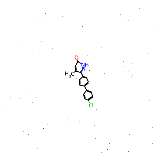 Cc1cc(=O)[nH]nc1-c1ccc(-c2ccc(Cl)cc2)cc1